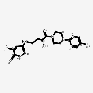 O=C([C@H](O)CCNc1cc(C(F)(F)F)c(=O)[nH]n1)N1CCN(c2ncc(C(F)(F)F)cn2)CC1